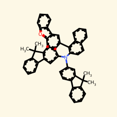 CC1(C)c2ccccc2-c2cc(N(c3ccc4c(c3)C(C)(C)c3ccccc3-4)c3ccc4ccccc4c3-c3ccc4oc5ccccc5c4c3)ccc21